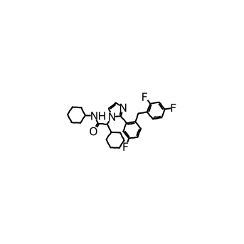 O=C(NC1CCCCC1)C(C1CCCCC1)n1ccnc1-c1cc(F)ccc1Cc1ccc(F)cc1F